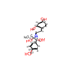 O=C(O)[C@@](O)(N=CCc1ccc(O)cc1O)C(O)c1ccc(O)cc1